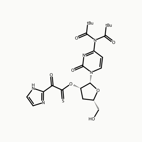 CC(C)(C)C(=O)N(C(=O)C(C)(C)C)c1ccn([C@@H]2O[C@H](CO)C[C@@H]2OC(=S)C(=O)c2ncc[nH]2)c(=O)n1